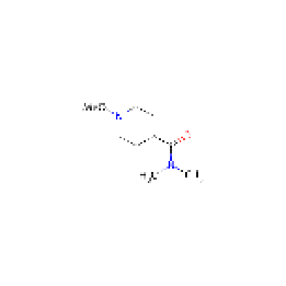 CON1CCC(C(=O)N(C)C)CC1